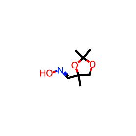 CC1(C=NO)COC(C)(C)O1